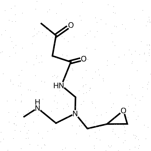 CNCN(CNC(=O)CC(C)=O)CC1CO1